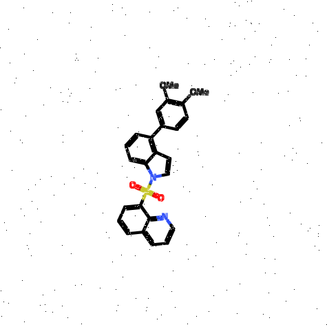 COc1ccc(-c2cccc3c2ccn3S(=O)(=O)c2cccc3cccnc23)cc1OC